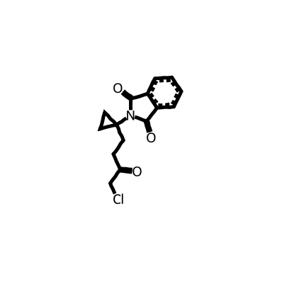 O=C(CCl)CCC1(N2C(=O)c3ccccc3C2=O)CC1